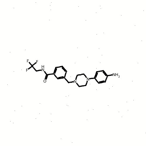 Nc1ccc(N2CCN(Cc3cccc(C(=O)NCC(F)(F)F)c3)CC2)cc1